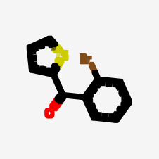 O=C(c1cccs1)c1ccccc1Br